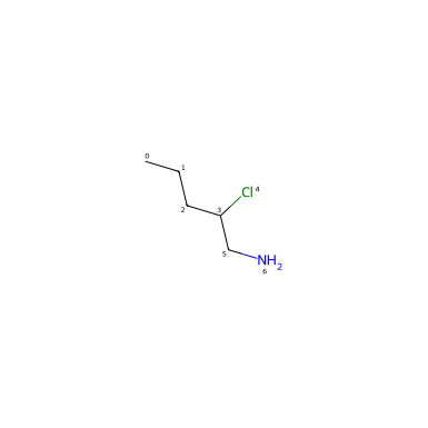 CCCC(Cl)CN